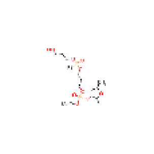 BC1CC(OP(=O)(OCCCOP(=O)(CC)OCCCO)OOC)C(C)O1